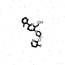 Cc1ccccc1-c1ccc(N2CC[C@H](Oc3ncccc3F)C2)c(CO)n1